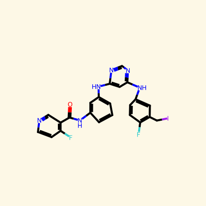 O=C(Nc1cccc(Nc2cc(Nc3ccc(F)c(CI)c3)ncn2)c1)c1cnccc1F